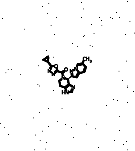 Cc1ccc2cc([C@@H]3c4nc[nH]c4CCN3C(=O)c3nnc(C4CC4)o3)nn2c1